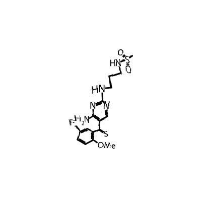 COc1ccc(F)cc1C(=S)c1cnc(NCCCNS(C)(=O)=O)nc1N